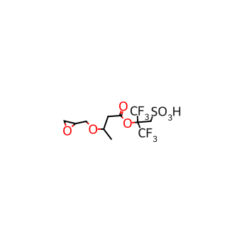 CC(CC(=O)OC(CS(=O)(=O)O)(C(F)(F)F)C(F)(F)F)OCC1CO1